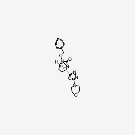 O=C1N2C[C@@H](CC[C@H]2c2nnc(N3CCOCC3)o2)N1OCc1ccccc1